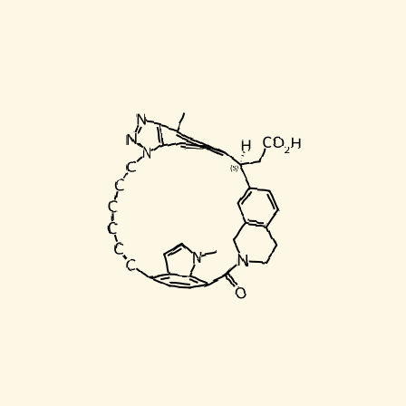 Cc1c2ccc3c1nnn3CCCCCCc1ccc(c3c1ccn3C)C(=O)N1CCc3ccc(cc3C1)[C@@H]2CC(=O)O